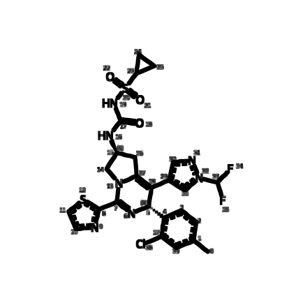 Cc1ccc([C@@H]2N=C(c3nccs3)N3C[C@@H](NC(=O)NS(=O)(=O)C4CC4)CC3=C2c2cnn(C(F)F)c2)c(Cl)c1